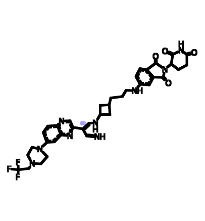 N=C/C(=C\NC1CC(CCCNc2ccc3c(c2)C(=O)N(C2CCC(=O)NC2=O)C3=O)C1)c1cnc2ccc(N3CCN(CC(F)(F)F)CC3)cc2n1